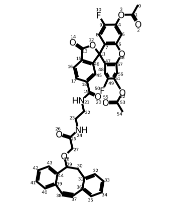 CC(=O)Oc1cc2c(cc1F)C1(OC(=O)c3ccc(C(=O)NCCNC(=O)COC4Cc5ccccc5C#Cc5ccccc54)cc31)c1cc(F)c(OC(C)=O)cc1O2